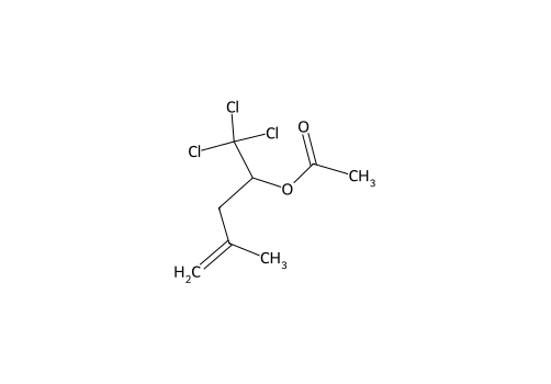 C=C(C)CC(OC(C)=O)C(Cl)(Cl)Cl